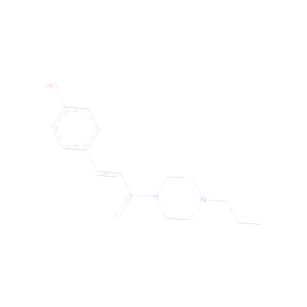 CCCN1CCN(C(=O)C=Cc2ccc(O)cc2)CC1